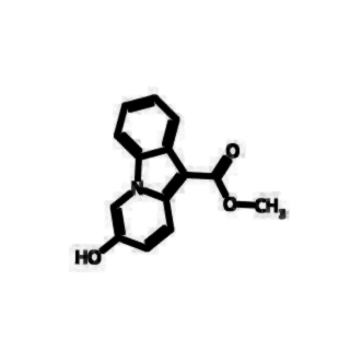 COC(=O)c1c2ccccc2n2cc(O)ccc12